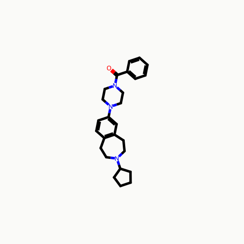 O=C(c1ccccc1)N1CCN(c2ccc3c(c2)CCN(C2CCCC2)CC3)CC1